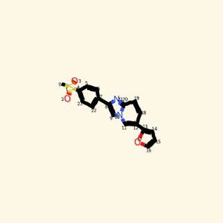 CS(=O)(=O)c1ccc(-c2cn3cc(-c4cc[c]o4)ccc3n2)cc1